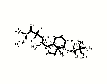 CON(C)C(=O)C(F)(F)C[C@@H](C)[C@H]1CC[C@H]2[C@@H](O[Si](C)(C)C(C)(C)C)CCC[C@]12C